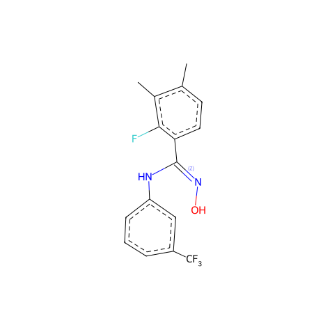 Cc1ccc(/C(=N/O)Nc2cccc(C(F)(F)F)c2)c(F)c1C